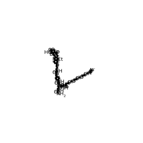 CCc1c2c(nc3ccc(OCCCNC(=O)OCc4ccc(NC(=O)[C@H](CCCNC(N)=O)NC(=O)[C@@H](NC(=O)CCOCCOCCOCCOCCOCCN=[N+]=[N-])C(C)C)cc4)cc13)-c1cc3c(c(=O)n1C2)COC(=O)[C@]3(O)CC